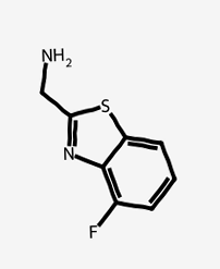 NCc1nc2c(F)cccc2s1